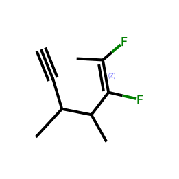 C#CC(C)C(C)/C(F)=C(\C)F